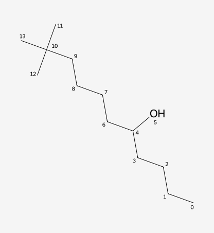 CCCCC(O)CCCCC(C)(C)C